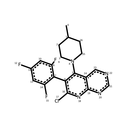 CC1CCN(c2c(-c3c(F)cc(F)cc3F)c(Cl)nc3ncncc23)CC1